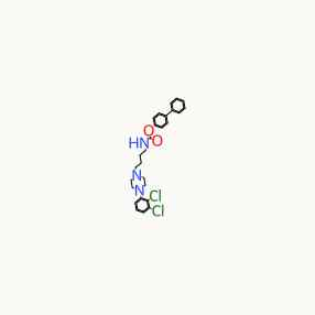 O=C(NCCCCN1CCN(c2cccc(Cl)c2Cl)CC1)Oc1ccc(-c2ccccc2)cc1